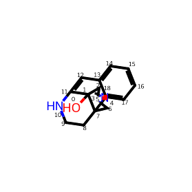 OC12C=CN=CCC13CCNC2=Cc1ccccc13